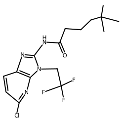 CC(C)(C)CCCC(=O)Nc1nc2ccc(Cl)nc2n1CC(F)(F)F